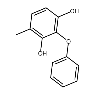 Cc1ccc(O)c(Oc2ccccc2)c1O